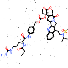 CCC(=O)N[C@@H](CCCNC(N)=O)C(=O)Nc1ccc(COC(=O)O[C@]2(CC)C(=O)OCc3c2cc2n(c3=O)Cc3c-2nc2ccccc2c3CCN(C(C)C)S(C)(=O)=O)cc1